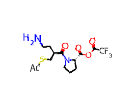 CC(=O)SCC(CCN)C(=O)N1CCC[C@H]1C(=O)OC(=O)C(F)(F)F